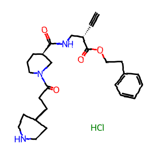 C#C[C@@H](CNC(=O)[C@@H]1CCCN(C(=O)CCC2CCNCC2)C1)C(=O)OCCc1ccccc1.Cl